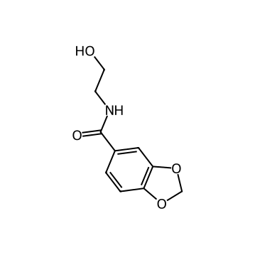 O=C(NCCO)c1ccc2c(c1)OCO2